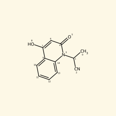 CC(C#N)n1c(=O)cc(O)c2ccccc21